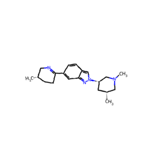 C[C@@H]1C[C@@H](n2cc3ccc(C4=NC[C@@H](C)CC4)cc3n2)CN(C)C1